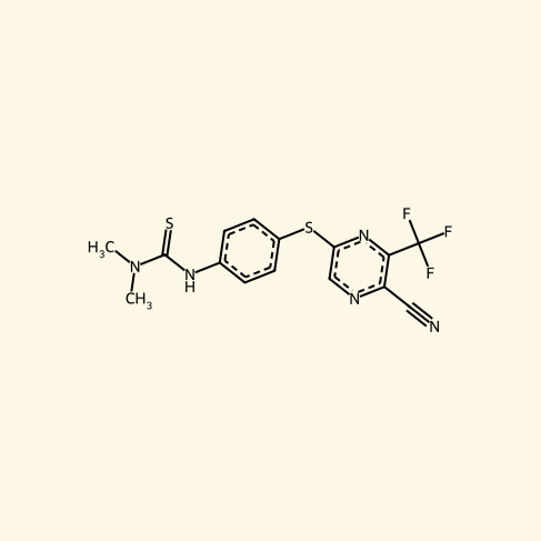 CN(C)C(=S)Nc1ccc(Sc2cnc(C#N)c(C(F)(F)F)n2)cc1